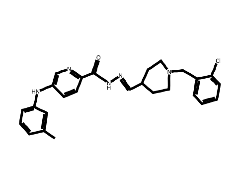 Cc1cccc(Nc2ccc(C(=O)N/N=C/C3CCN(Cc4ccccc4Cl)CC3)nc2)c1